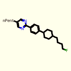 CCCCCc1cnc(-c2ccc(C3CCC(CCCCF)CC3)cc2)nc1